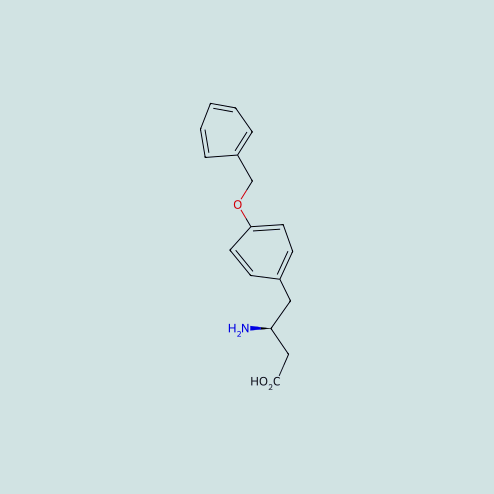 N[C@H](CC(=O)O)Cc1ccc(OCc2ccccc2)cc1